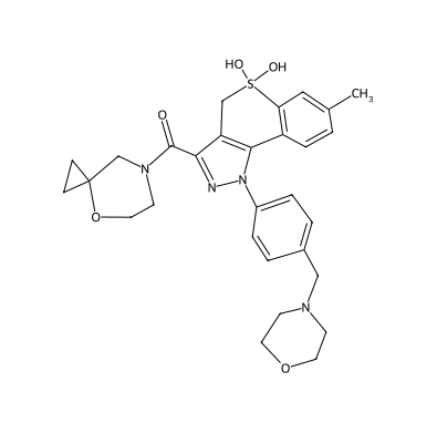 Cc1ccc2c(c1)S(O)(O)Cc1c(C(=O)N3CCOC4(CC4)C3)nn(-c3ccc(CN4CCOCC4)cc3)c1-2